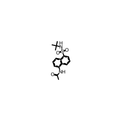 CC(=O)Nc1cccc2c(S(=O)(=O)NC(C)(C)C)cccc12